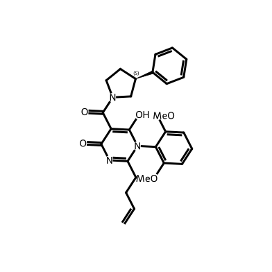 C=CCCc1nc(=O)c(C(=O)N2CC[C@@H](c3ccccc3)C2)c(O)n1-c1c(OC)cccc1OC